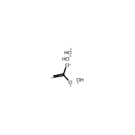 C=C(Cl)Cl.Cl.Cl.Cl